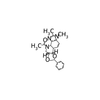 CC(=O)N1C[C@H]2OCC(c3ccccc3)O[C@@H]2C2C=Cc3c(nc(C)n3C)C21